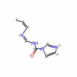 C/C=C\N=C/NC(=O)n1ccnc1